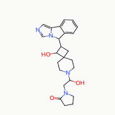 O=C1CCCN1CC(O)N1CCC2(CC1)CC(C1c3ccccc3-c3cncn31)C2O